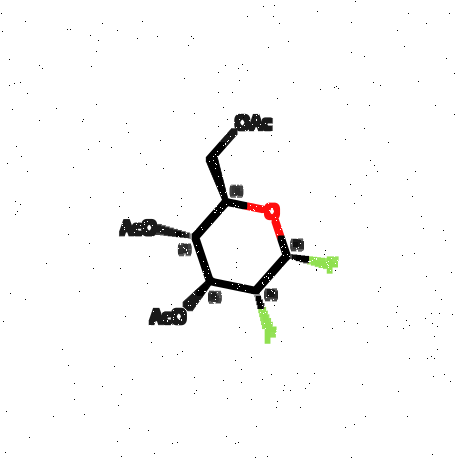 CC(=O)OC[C@H]1O[C@H](F)[C@H](F)[C@@H](OC(C)=O)[C@@H]1OC(C)=O